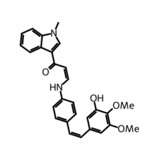 COc1cc(/C=C\c2ccc(N/C=C\C(=O)c3cn(C)c4ccccc34)cc2)cc(O)c1OC